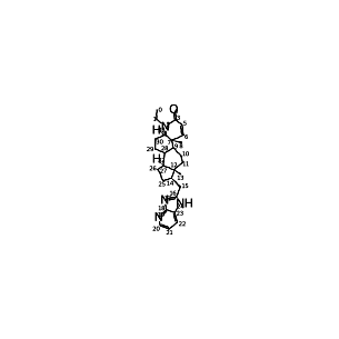 CCN1C(=O)C=C[C@]2(C)C3CC[C@]4(C)[C@@H](Cc5nc6ncccc6[nH]5)CC[C@H]4C3CC[C@@H]12